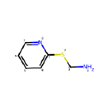 N[CH]Sc1ccccn1